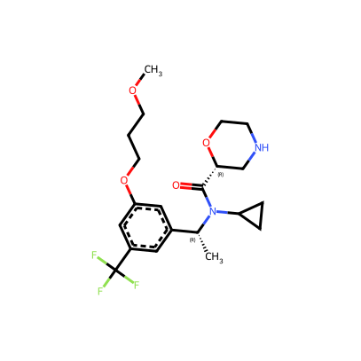 COCCCOc1cc([C@@H](C)N(C(=O)[C@H]2CNCCO2)C2CC2)cc(C(F)(F)F)c1